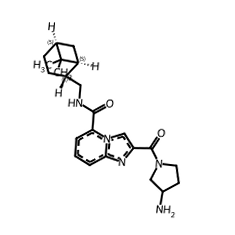 CC1(C)[C@H]2CC[C@@H](CNC(=O)c3cccc4nc(C(=O)N5CCC(N)C5)cn34)[C@@H]1C2